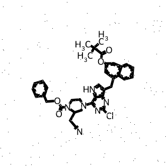 CC(C)(C)C(=O)Oc1cc(Cc2c[nH]c3c(N4CCN(C(=O)OCc5ccccc5)C(CC#N)C4)nc(Cl)nc23)c2ccccc2c1